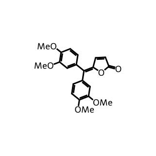 COc1ccc(C(=C2C=CC(=O)O2)c2ccc(OC)c(OC)c2)cc1OC